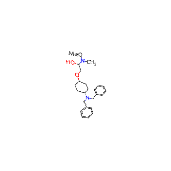 CON(C)C(O)CO[C@H]1CC[C@H](N(Cc2ccccc2)Cc2ccccc2)CC1